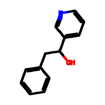 OC(Cc1ccccc1)c1cccnc1